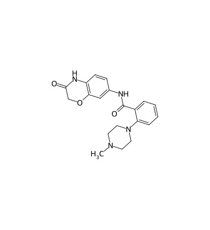 CN1CCN(c2ccccc2C(=O)Nc2ccc3c(c2)OCC(=O)N3)CC1